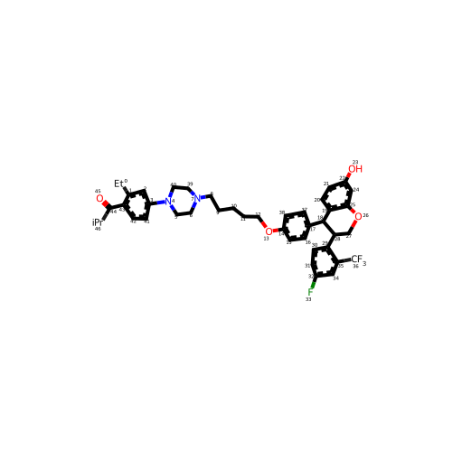 CCc1cc(N2CCN(CCCCCOc3ccc(C4c5ccc(O)cc5OCC4c4ccc(F)cc4C(F)(F)F)cc3)CC2)ccc1C(=O)C(C)C